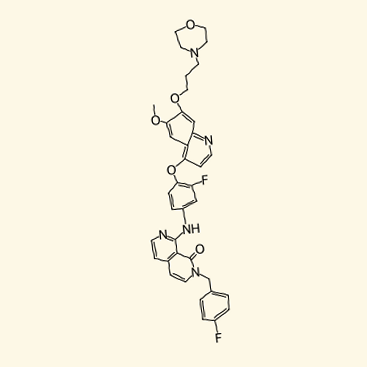 COc1cc2c(Oc3ccc(Nc4nccc5ccn(Cc6ccc(F)cc6)c(=O)c45)cc3F)ccnc2cc1OCCCN1CCOCC1